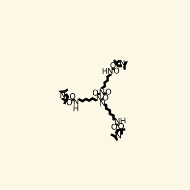 C=CC(C)(CN1CC1C)OC(=O)NCCCCCC/N=c1\oc(=O)n(CCCCCCNC(=O)OC(C)(C=C)CN2CC2C)c(=O)n1CCCCCCNC(=O)OC(C)(C=C)CN1CC1C